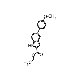 CCOC(=O)c1cc2cc(-c3ccc(OC)cc3)ccc2[nH]1